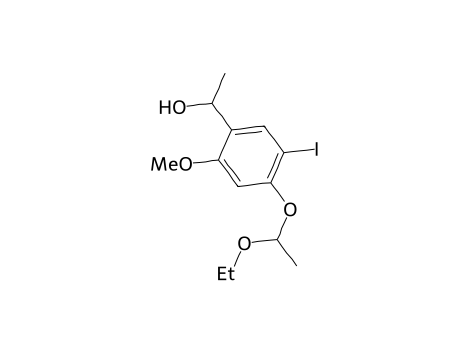 CCOC(C)Oc1cc(OC)c(C(C)O)cc1I